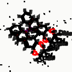 COC1(C)Oc2ccc(P(c3ccccc3)c3ccccc3)c(-c3c(P(c4ccccc4)c4ccccc4)ccc4c3OC(C)(OC)C(C)(OC)O4)c2OC1(C)OC